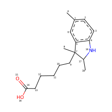 Cc1ccc2c(c1)C(C)(CCCCCC(=O)O)C(C)N2